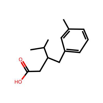 Cc1cccc(CC(CC(=O)O)C(C)C)c1